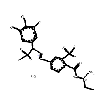 CC[C@H](N)NC(=O)c1ccc(/C=C/C(c2cc(Cl)c(Cl)c(Cl)c2)C(F)(F)F)cc1C(F)(F)F.Cl